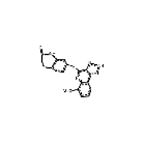 COc1cccc2c1nc(Nc1ccc3c(c1)NC(=O)CO3)c1n[nH]cc12